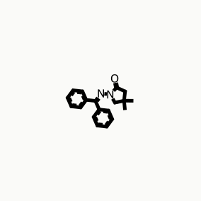 CC1(C)CC(=O)N(N=C(c2ccccc2)c2ccccc2)C1